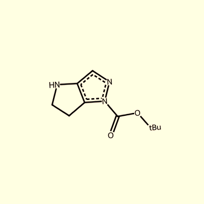 CC(C)(C)OC(=O)n1ncc2c1CCN2